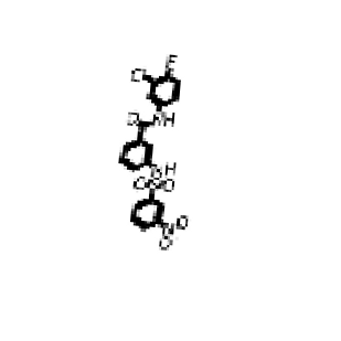 O=C(Nc1ccc(F)c(Cl)c1)c1cccc(NS(=O)(=O)c2cccc([N+](=O)[O-])c2)c1